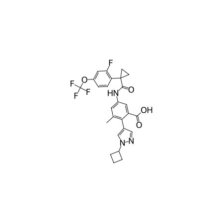 Cc1cc(NC(=O)C2(c3ccc(OC(F)(F)F)cc3F)CC2)cc(C(=O)O)c1-c1cnn(C2CCC2)c1